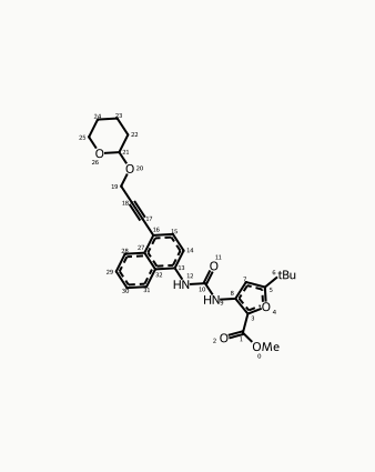 COC(=O)c1oc(C(C)(C)C)cc1NC(=O)Nc1ccc(C#CCOC2CCCCO2)c2ccccc12